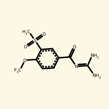 CS(=O)(=O)c1cc(C(=O)N=C(N)N)ccc1OC(F)(F)F